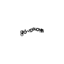 Cc1c(CCN2CCC3(CC2)CCN(c2ccc(-n4ccnn4)cc2)C3)ccc2c1COC2=O